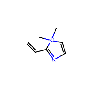 C=CC1=NC=C[N+]1(C)C